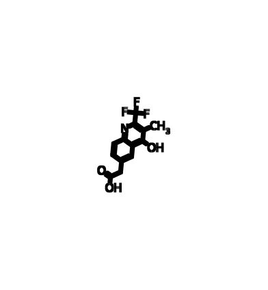 Cc1c(C(F)(F)F)nc2ccc(CC(=O)O)cc2c1O